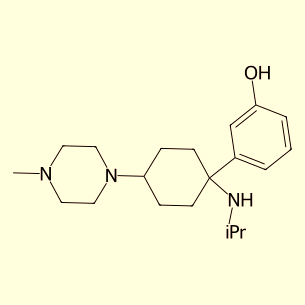 CC(C)NC1(c2cccc(O)c2)CCC(N2CCN(C)CC2)CC1